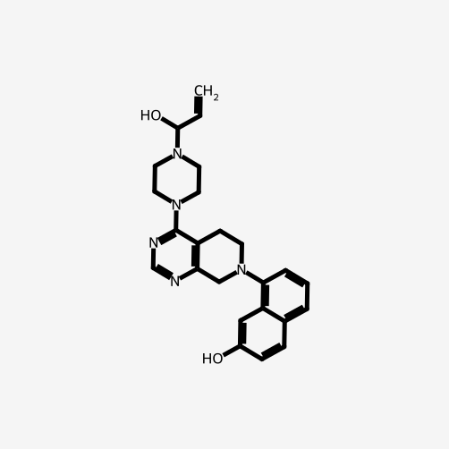 C=CC(O)N1CCN(c2ncnc3c2CCN(c2cccc4ccc(O)cc24)C3)CC1